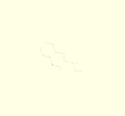 O=CNc1nc2ccccc2c(=O)[nH]1